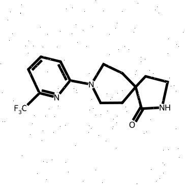 O=C1NCCC12CCN(c1cccc(C(F)(F)F)n1)CC2